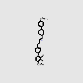 CCCCCc1ccc(C2CCC(/C=C/CCc3ccc(-c4ccc(OC)c(F)c4F)cc3)CC2)cc1